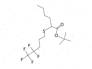 CCCCC(SCCCC(F)(F)C(F)(F)F)C(=O)OC(C)(C)C